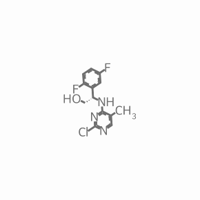 Cc1cnc(Cl)nc1N[C@H](CO)c1cc(F)ccc1F